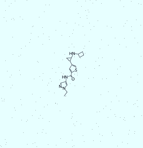 CCn1cc(NC(=O)c2cc(C3CC3NC3CCC3)cs2)cn1